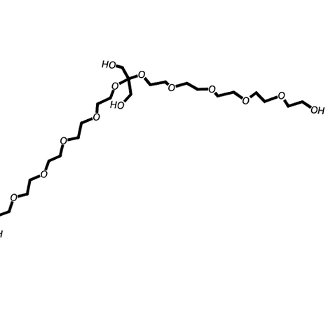 OCCOCCOCCOCCOCCOC(CO)(CO)OCCOCCOCCOCCOCCO